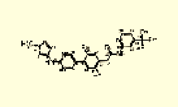 Cn1cc(Nc2ncc(-c3cc(F)c(CC(=O)Nc4cc(C(F)(F)F)ccn4)cc3F)cn2)cn1